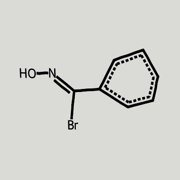 ON=C(Br)c1ccccc1